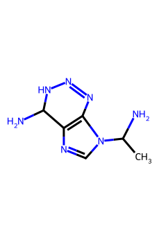 CC(N)n1cnc2c1N=NNC2N